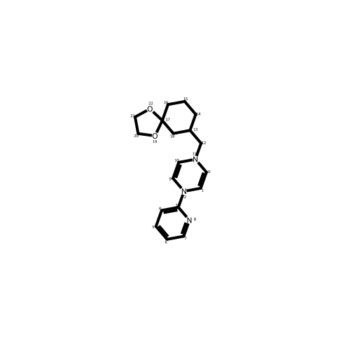 C1=CN(c2ccccn2)C=CN1CC1CCCC2(C1)OCCO2